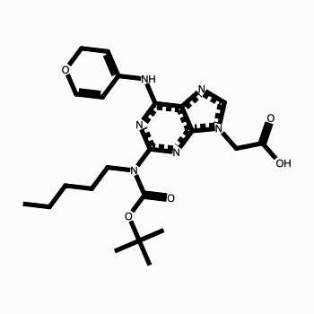 CCCCCN(C(=O)OC(C)(C)C)c1nc(NC2=CCOC=C2)c2ncn(CC(=O)O)c2n1